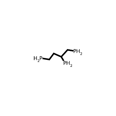 PCCC(P)CP